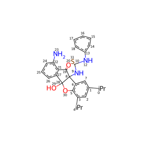 CC(C)c1cc(C(C)C)c2c(c1)C1(NC(=S)Nc3ccccc3)C(=O)c3c(N)cccc3C1(O)O2